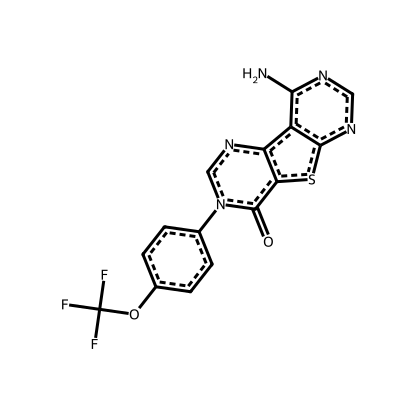 Nc1ncnc2sc3c(=O)n(-c4ccc(OC(F)(F)F)cc4)cnc3c12